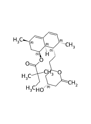 C=C1C[C@H](O)CC(CC[C@@H]2[C@@H]3C(=C[C@H](C)C[C@@H]3OC(=O)C(C)(C)CC)C=C[C@@H]2C)O1